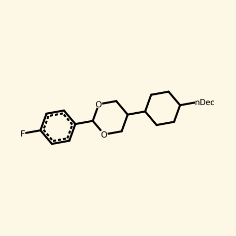 CCCCCCCCCCC1CCC(C2COC(c3ccc(F)cc3)OC2)CC1